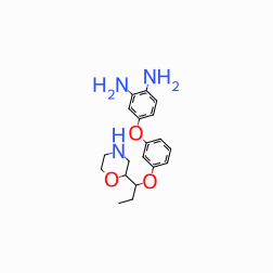 CCC(Oc1cccc(Oc2ccc(N)c(N)c2)c1)C1CNCCO1